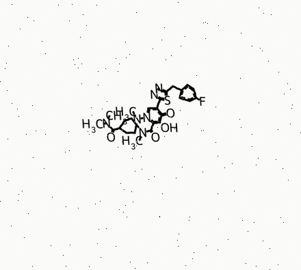 CN(C)C(=O)C1CCC2(CC1)N(C)C(=O)c1c(O)c(=O)c(-c3nnc(Cc4ccc(F)cc4)s3)cn1N2C